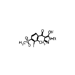 CCn1ncc(C(=O)c2ccc(S(C)(=O)=O)c(I)c2C)c1O